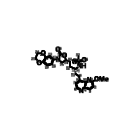 COc1ccc2nccc(CC[C@H](CC[C@H]3CN(c4ccc5c(c4)OCCO5)C(=O)O3)NS(C)(=O)=O)c2n1